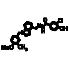 COc1ccc(Cn2ccc3c(/C=N/NC(=O)c4ccc(O)c(Cl)c4)cccc32)cc1C